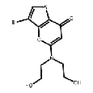 O=c1cc(N(CCO)CCO)oc2c(Br)csc12